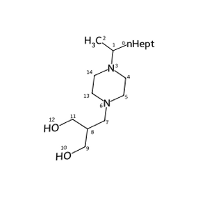 CCCCCCCC(C)N1CCN(CC(CO)CO)CC1